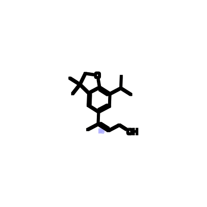 C/C(=C/CO)c1cc(C(C)C)c2c(c1)C(C)(C)CO2